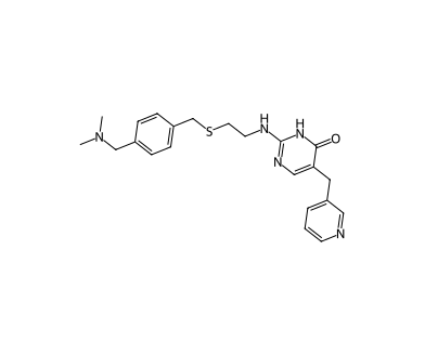 CN(C)Cc1ccc(CSCCNc2ncc(Cc3cccnc3)c(=O)[nH]2)cc1